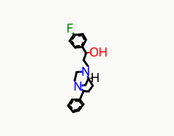 O[C@@H](CCN1CCN2C[C@@H]1CCC2c1ccccc1)c1ccc(F)cc1